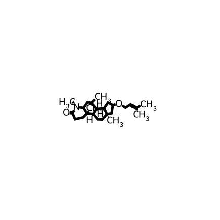 CC(C)=CCOC1C[C@H]2[C@@H]3C(C)CC4N(C)C(=O)CC[C@]4(C)[C@@H]3CC[C@]2(C)C1